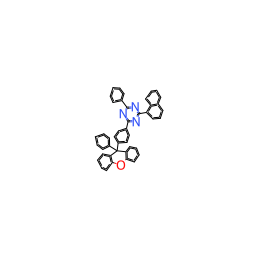 c1ccc(-c2nc(-c3ccc(C4(c5ccccc5)c5ccccc5Oc5ccccc54)cc3)nc(-c3cccc4ccccc34)n2)cc1